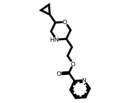 O=C(OCCC1COC(C2CC2)CN1)c1ccccn1